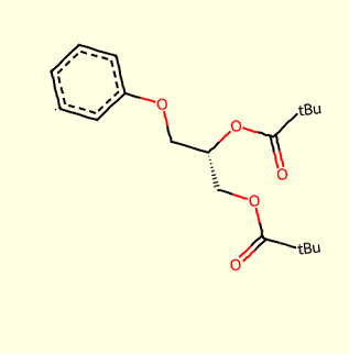 CC(C)(C)C(=O)OC[C@H](COc1c[c]ccc1)OC(=O)C(C)(C)C